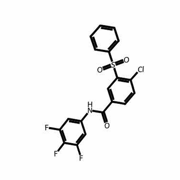 O=C(Nc1cc(F)c(F)c(F)c1)c1ccc(Cl)c(S(=O)(=O)c2ccccc2)c1